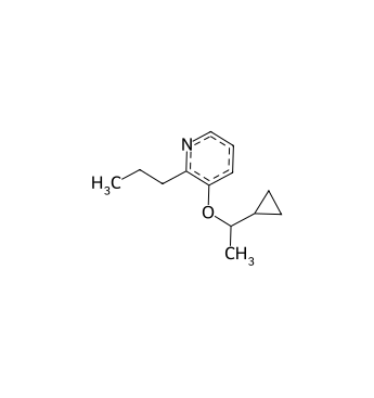 CCCc1ncccc1OC(C)C1CC1